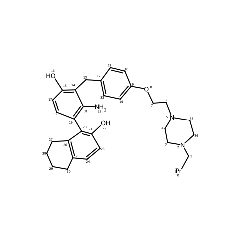 CC(C)CN1CCN(CCOc2ccc(Cc3c(O)ccc(-c4c(O)ccc5c4CCCC5)c3N)cc2)CC1